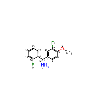 N[C@@H](c1ccc(OC(F)(F)F)c(F)c1)c1ccccc1F